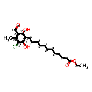 CCOC(=O)CCCCCCCCCCCc1c(O)c(Cl)c(C)c(C=O)c1O